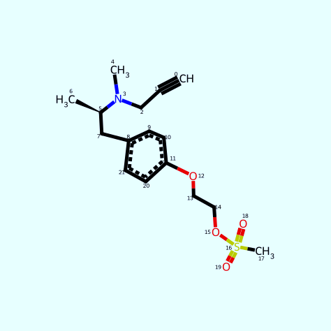 C#CCN(C)[C@H](C)Cc1ccc(OCCOS(C)(=O)=O)cc1